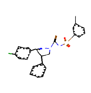 O=S(=O)(NC(=S)N1CC(c2ccccc2)C(c2ccc(Cl)cc2)=N1)c1cccc(C(F)(F)F)c1